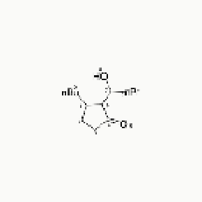 CCCCC1CCC(=O)C1C(O)CCC